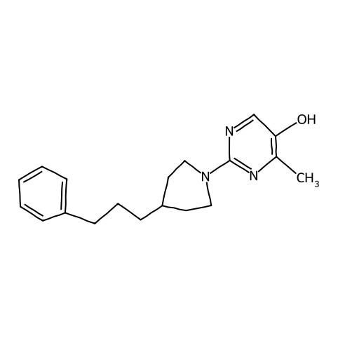 Cc1nc(N2CCC(CCCc3ccccc3)CC2)ncc1O